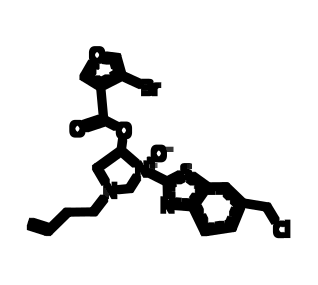 C=CCCN1CC(OC(=O)c2cocc2Br)[N+]([O-])(c2nc3ccc(CCl)cc3s2)C1